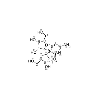 Nc1ccn([C@]2(C3O[C@H](CO)[C@@H](O)[C@H]3O)O[C@H](CO)[C@@H](O)[C@H]2O)c(=O)n1